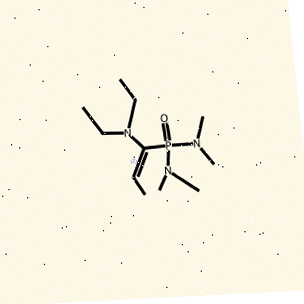 C/C=C(/N(CC)CC)P(=O)(N(C)C)N(C)C